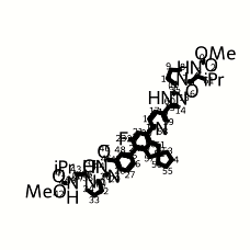 COC(=O)NC(C(=O)N1CCC[C@H]1c1ncc(-c2ccc(-c3cc(F)c(-c4ccc5nc([C@@H]6CCCN6C(=O)[C@@H](NC(=O)OC)C(C)C)[nH]c(=O)c5c4)c4c3CC3(CCCC3)C4)nc2)[nH]1)C(C)C